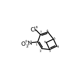 O=[N+]([O-])C1=CC2=CC(C=C1Cl)C2